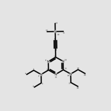 CCN(CC)c1nc(C#C[Si](C)(C)C)nc(N(CC)CC)n1